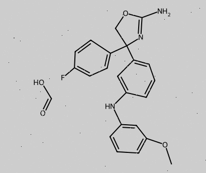 COc1cccc(Nc2cccc(C3(c4ccc(F)cc4)COC(N)=N3)c2)c1.O=CO